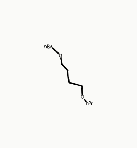 [CH2]CCOCCCCOCCCC